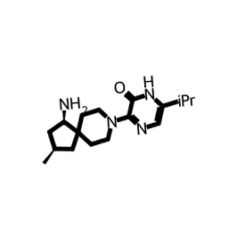 CC(C)c1cnc(N2CCC3(CC2)C[C@@H](C)C[C@H]3N)c(=O)[nH]1